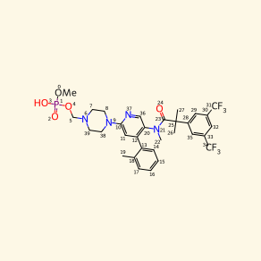 COP(=O)(O)OCN1CCN(c2cc(-c3ccccc3C)c(N(C)C(=O)C(C)(C)c3cc(C(F)(F)F)cc(C(F)(F)F)c3)cn2)CC1